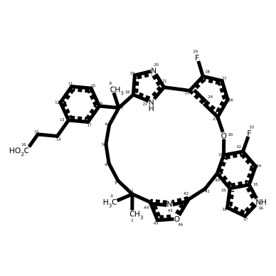 CC1(C)CCCCC(C)(c2cccc(CCC(=O)O)c2)c2cnc([nH]2)-c2cc(ccc2F)Oc2c(F)cc3[nH]ccc3c2Cc2nc1co2